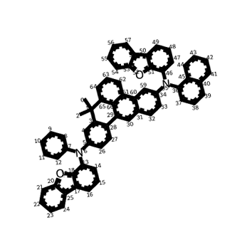 CC1(C)c2cc(N(c3ccccc3)c3cccc4c3oc3ccccc34)ccc2-c2cc3ccc(N(c4cccc5ccccc45)c4cccc5c4oc4ccccc45)cc3c3cccc1c23